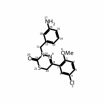 COc1ccc(Cl)cc1C1=NN(Cc2cccc(N)c2)C(=O)SC1